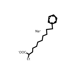 CCC(CCCCCCCCCc1ccccc1)C(=O)[O-].[Na+]